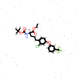 CCOC(=O)[C@@](C)(CCCc1ccc(Oc2cccc(C(F)(F)F)c2)cc1Cl)NC(=O)OC(C)(C)C